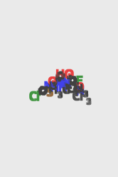 CC1(C)CN(c2ccccc2NC(=O)Nc2nc3ccc(Cl)cc3s2)c2c(O)cc(F)c(-c3cc(C(F)(F)F)no3)c21